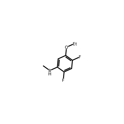 CBc1cc(OCC)c(F)cc1F